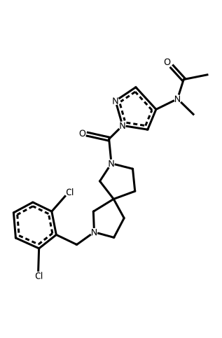 CC(=O)N(C)c1cnn(C(=O)N2CCC3(CCN(Cc4c(Cl)cccc4Cl)C3)C2)c1